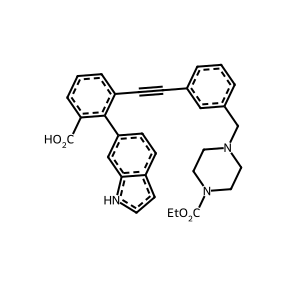 CCOC(=O)N1CCN(Cc2cccc(C#Cc3cccc(C(=O)O)c3-c3ccc4cc[nH]c4c3)c2)CC1